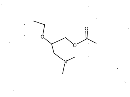 CCOC(COC(C)=O)CN(C)C